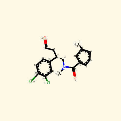 Cc1cccc(C(=O)N(C)C[C@@H](CC=O)c2ccc(Cl)c(Cl)c2)c1